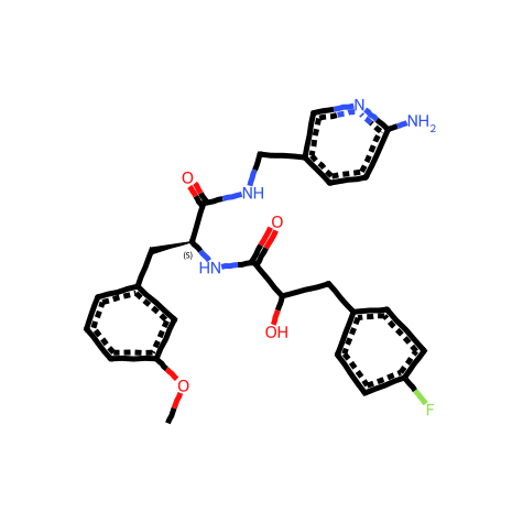 COc1cccc(C[C@H](NC(=O)C(O)Cc2ccc(F)cc2)C(=O)NCc2ccc(N)nc2)c1